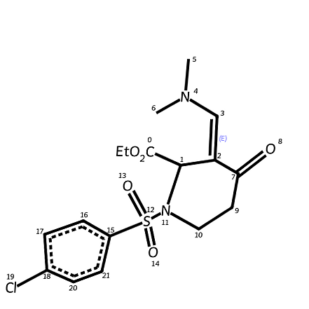 CCOC(=O)C1/C(=C\N(C)C)C(=O)CCN1S(=O)(=O)c1ccc(Cl)cc1